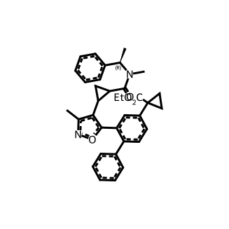 CCOC(=O)C1(c2ccc(-c3ccccc3)c(-c3onc(C)c3C3CC3C(=O)N(C)[C@H](C)c3ccccc3)c2)CC1